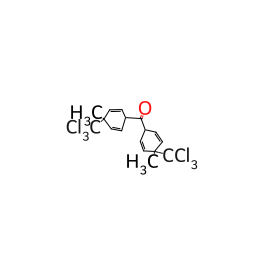 CC1(C(Cl)(Cl)Cl)C=CC(C(=O)C2C=CC(C)(C(Cl)(Cl)Cl)C=C2)C=C1